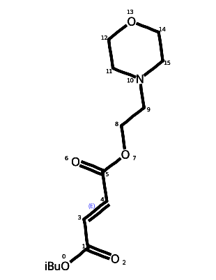 CC(C)COC(=O)/C=C/C(=O)OCCN1CCOCC1